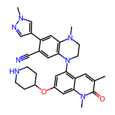 Cc1cc2c(N3CCN(C)c4cc(-c5cnn(C)c5)c(C#N)cc43)cc(OC3CCNCC3)cc2n(C)c1=O